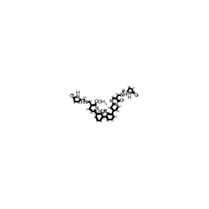 COc1nc(-c2cccc(-c3cccc(-c4ccn5c(=O)c(CNC[C@@H]6CCC(=O)N6)cnc5c4)c3C)c2C)ccc1CNC[C@H]1CCC(=O)N1